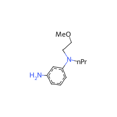 CCCN(CCOC)c1cccc(N)c1